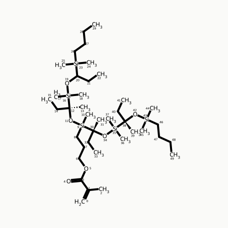 C=C(C)C(=O)OCCC[Si](C)(O[C@@](C)(CC)[Si](C)(C)OC(CC)[Si](C)(C)CCCC)[C@@](C)(CC)O[Si](C)(C)[C@](C)(CC)O[Si](C)(C)CCCC